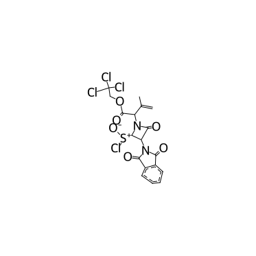 C=C(C)C(C(=O)OCC(Cl)(Cl)Cl)N1C(=O)C(N2C(=O)c3ccccc3C2=O)C1[S+]([O-])Cl